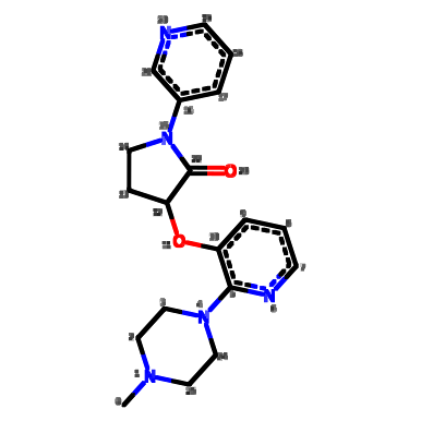 CN1CCN(c2ncccc2OC2CCN(c3cccnc3)C2=O)CC1